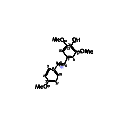 COc1ccc(/N=C/c2cc(OC)c(O)c(OC)c2)cc1